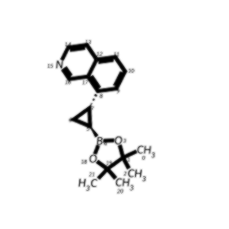 CC1(C)OB([C@H]2C[C@@H]2c2cccc3ccncc23)OC1(C)C